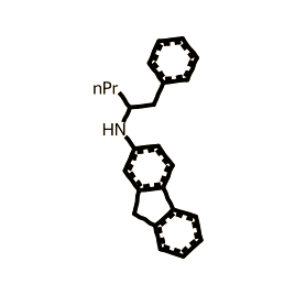 CCCC(Cc1ccccc1)Nc1ccc2c(c1)Cc1ccccc1-2